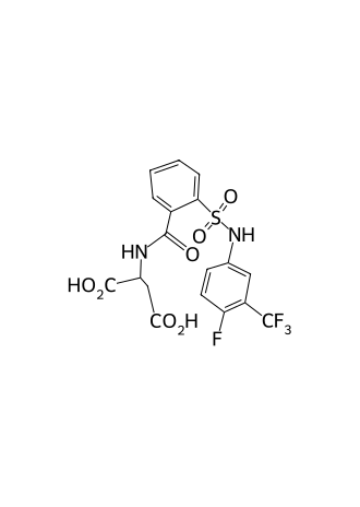 O=C(O)CC(NC(=O)c1ccccc1S(=O)(=O)Nc1ccc(F)c(C(F)(F)F)c1)C(=O)O